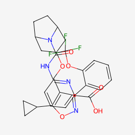 O=C(O)c1cccc(NC(=O)N2C3CCC2CC(OCc2c(-c4ccccc4OC(F)(F)F)noc2C2CC2)C3)n1